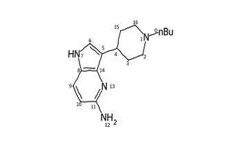 CCCCN1CCC(c2c[nH]c3ccc(N)nc23)CC1